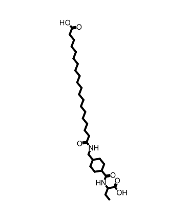 CCC(NC(=O)C1CCC(CNC(=O)CCCCCCCCCCCCCCCCCCC(=O)O)CC1)C(=O)O